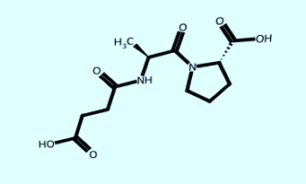 C[C@H](NC(=O)CCC(=O)O)C(=O)N1CCC[C@H]1C(=O)O